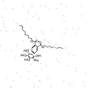 CCCCCCCCOC(=O)c1ccccc1C(=O)OCCCCCCCC.Oc1cc(O)c(O)c(O)c1O